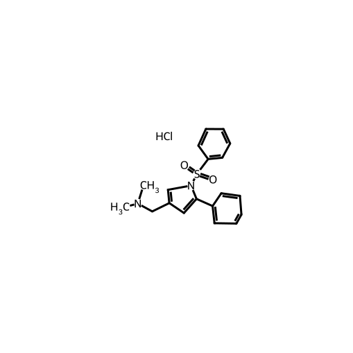 CN(C)Cc1cc(-c2ccccc2)n(S(=O)(=O)c2ccccc2)c1.Cl